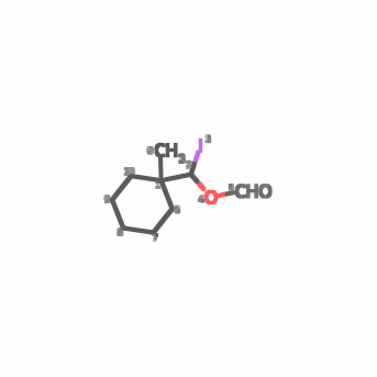 CC1(C(I)OC=O)CCCCC1